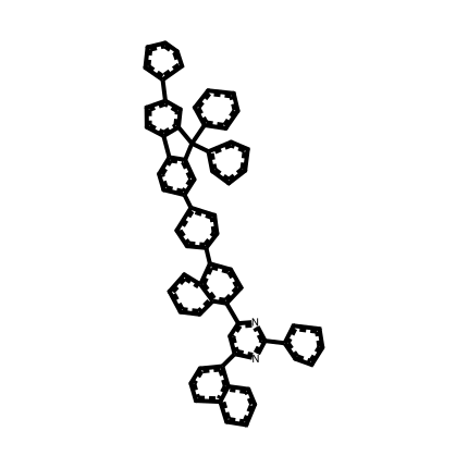 c1ccc(-c2ccc3c(c2)C(c2ccccc2)(c2ccccc2)c2cc(-c4ccc(-c5ccc(-c6cc(-c7cccc8ccccc78)nc(-c7ccccc7)n6)c6ccccc56)cc4)ccc2-3)cc1